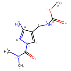 CN(C)C(=O)n1cc(CNC(=O)OC(C)(C)C)c(N)n1